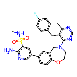 CNS(=O)(=O)c1cc(-c2ccc3c(c2)CN(c2ncnc(C)c2Cc2ccc(F)cc2)CCO3)cnc1N